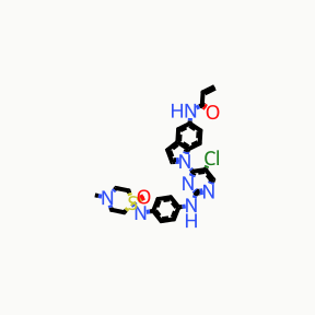 C=CC(=O)Nc1ccc2c(ccn2-c2nc(Nc3ccc(N=S4(=O)CCN(C)CC4)cc3)ncc2Cl)c1